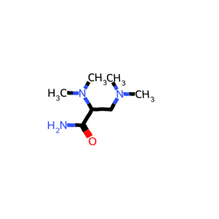 CN(C)CC(C(N)=O)N(C)C